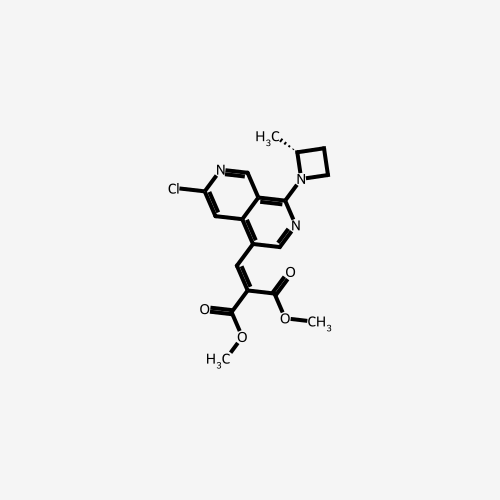 COC(=O)C(=Cc1cnc(N2CC[C@H]2C)c2cnc(Cl)cc12)C(=O)OC